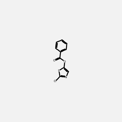 O=C(Oc1cnc(Cl)s1)c1ccccc1